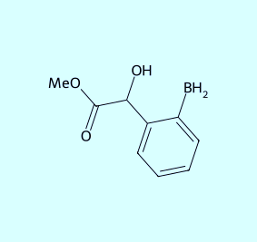 Bc1ccccc1C(O)C(=O)OC